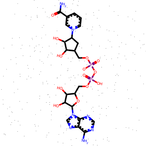 NC(=O)c1ccc[n+](C2CC(COP(=O)([O-])OP(=O)(O)OCC3OC(n4cnc5c(N)ncnc54)C(O)C3O)C(O)C2O)c1